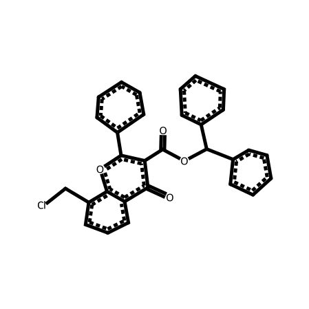 O=C(OC(c1ccccc1)c1ccccc1)c1c(-c2ccccc2)oc2c(CCl)cccc2c1=O